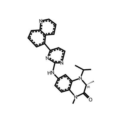 CC(C)N1c2cc(Nc3nccc(-c4cccc5ncccc45)n3)ccc2N(C)C(=O)[C@H]1C